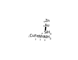 [AlH3].[Cu].[Fe].[Mn].[SiH3][Au].[Zn]